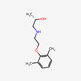 Cc1cccc(C)c1OCCNC[C@H](C)O